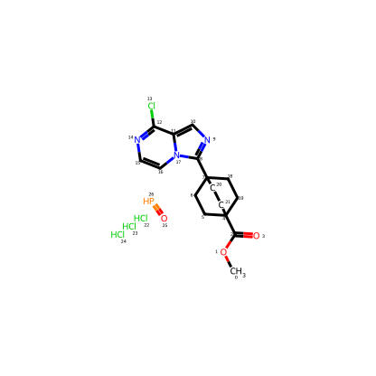 COC(=O)C12CCC(c3ncc4c(Cl)nccn34)(CC1)CC2.Cl.Cl.Cl.O=P